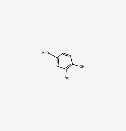 COc1ccc(O)c(N=O)c1